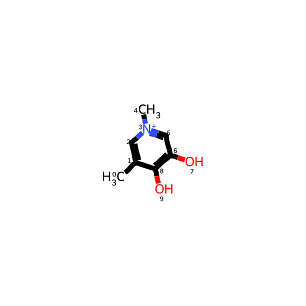 Cc1c[n+](C)cc(O)c1O